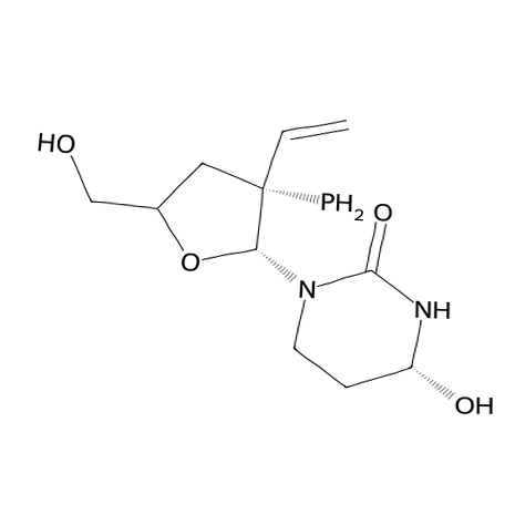 C=C[C@]1(P)CC(CO)O[C@H]1N1CC[C@@H](O)NC1=O